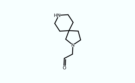 O=CCN1CCC2(CCNCC2)C1